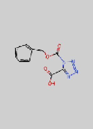 O=C(O)c1nnnn1C(=O)OCc1ccccc1